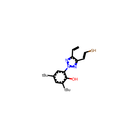 C=Cc1nn(-c2cc(C(C)(C)C)cc(C(C)(C)C)c2O)nc1/C=C/S